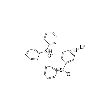 [Li+].[Li+].[O-][SiH](c1ccccc1)c1ccccc1.[O-][SiH](c1ccccc1)c1ccccc1